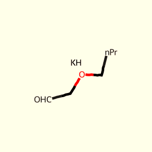 CCCCOCC=O.[KH]